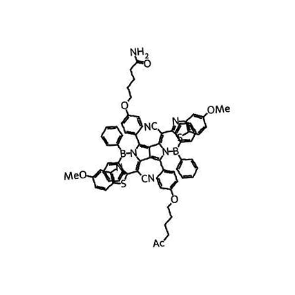 COc1ccc2sc(/C(C#N)=c3/c4c(-c5ccc(OCCCCC(N)=O)cc5)n(B(c5ccccc5)c5ccccc5)/c(=C(/C#N)c5nc6cc(OC)ccc6s5)c4c(-c4ccc(OCCCCC(C)=O)cc4)n3B(c3ccccc3)c3ccccc3)nc2c1